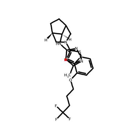 Cc1nsc(N2CC3CC[C@@H](C2)[C@@H]3Nc2nc3c(OCCCC(F)(F)F)cccn3n2)n1